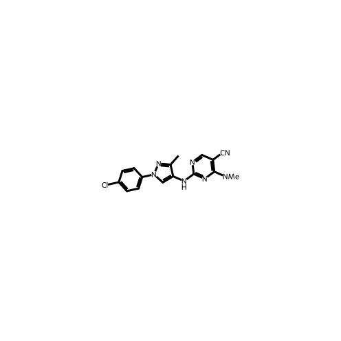 CNc1nc(Nc2cn(-c3ccc(Cl)cc3)nc2C)ncc1C#N